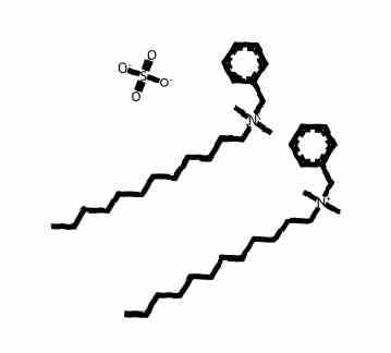 CCCCCCCCCCCC[N+](C)(C)Cc1ccccc1.CCCCCCCCCCCC[N+](C)(C)Cc1ccccc1.O=S(=O)([O-])[O-]